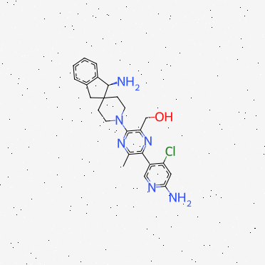 Cc1nc(N2CCC3(CC2)Cc2ccccc2[C@H]3N)c(CO)nc1-c1cnc(N)cc1Cl